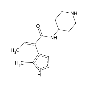 C/C=C(/C(=O)NC1CCNCC1)c1cc[nH]c1C